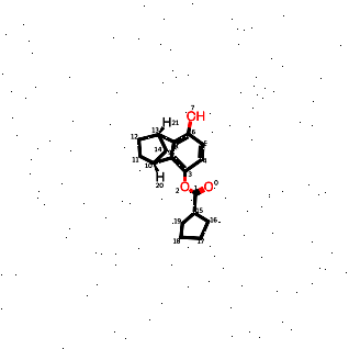 O=C(Oc1ccc(O)c2c1[C@@H]1CC[C@H]2C1)C1CCCC1